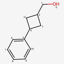 OCC1CC(c2ccccc2)C1